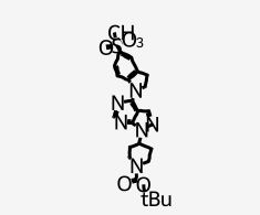 CC(C)(C)OC(=O)N1CCC(n2ncc3c(N4CCc5cc(S(C)(=O)=O)ccc54)ncnc32)CC1